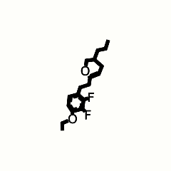 CCCC1CC=C(CCc2ccc(OCC)c(F)c2F)OC1